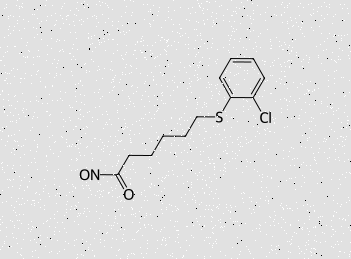 O=NC(=O)CCCCCSc1ccccc1Cl